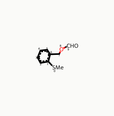 CSc1ccccc1COC=O